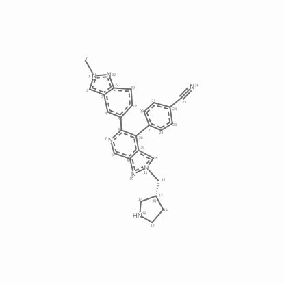 Cn1cc2cc(-c3ncc4nn(C[C@@H]5CCNC5)cc4c3-c3ccc(C#N)cc3)ccc2n1